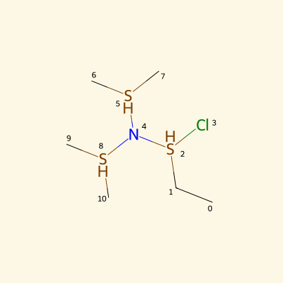 CC[SH](Cl)N([SH](C)C)[SH](C)C